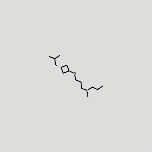 CCCN(C)CCCO[C@H]1C[C@H](CC(C)C)C1